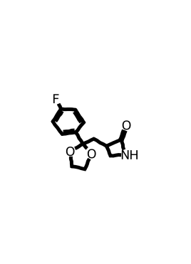 O=C1NCC1CC1(c2ccc(F)cc2)OCCO1